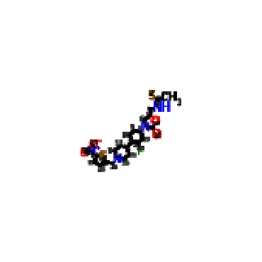 CC(=S)NCC1CN(c2ccc(C3CCN(Cc4ccc([N+](=O)[O-])s4)CC3)c(F)c2)C(=O)O1